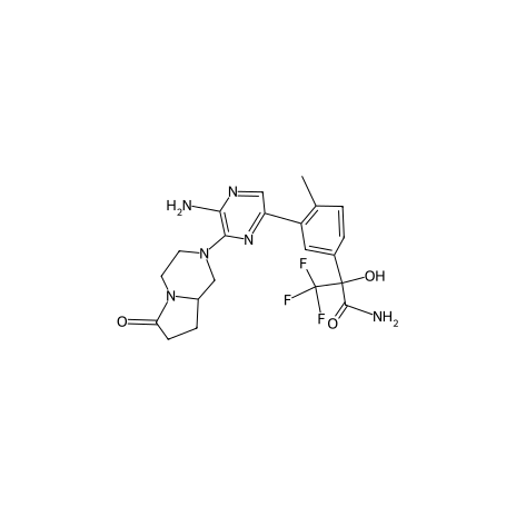 Cc1ccc(C(O)(C(N)=O)C(F)(F)F)cc1-c1cnc(N)c(N2CCN3C(=O)CCC3C2)n1